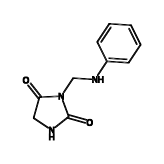 O=C1CNC(=O)N1CNc1ccccc1